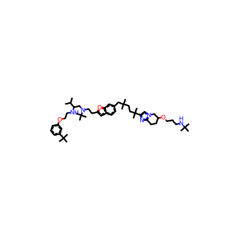 CC(C)C(CN(CCc1cc2ccc(CC(C)(C)CCC(C)(C)c3cn4c(n3)CCC(OCCCNC(C)(C)C)C4)cc2o1)C(C)(C)C)NCCOc1cccc(C(C)(C)C)c1